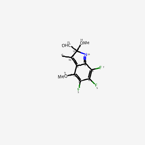 COc1c(F)c(F)c(F)c2c1=C(C)C(C=O)(OC)N=2